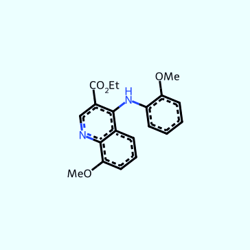 CCOC(=O)c1cnc2c(OC)cccc2c1Nc1ccccc1OC